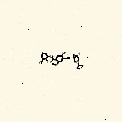 Nc1cc2c(Nc3cccc(Cl)c3F)ncnc2cc1C#C[C@]12C[C@H]1CN(C1COC1)C2